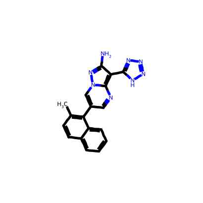 Cc1ccc2ccccc2c1-c1cnc2c(-c3nnn[nH]3)c(N)nn2c1